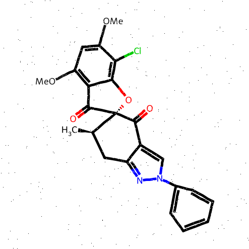 COc1cc(OC)c2c(c1Cl)O[C@@]1(C(=O)c3cn(-c4ccccc4)nc3C[C@H]1C)C2=O